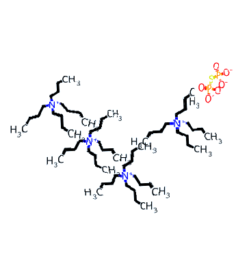 CCCC[N+](CCCC)(CCCC)CCCC.CCCC[N+](CCCC)(CCCC)CCCC.CCCC[N+](CCCC)(CCCC)CCCC.CCCC[N+](CCCC)(CCCC)CCCC.O=P([O-])([O-])SP(=O)([O-])[O-]